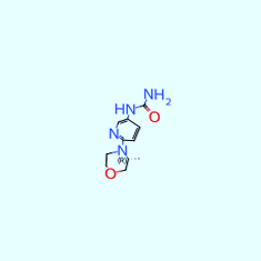 C[C@@H]1COCCN1c1ccc(NC(N)=O)cn1